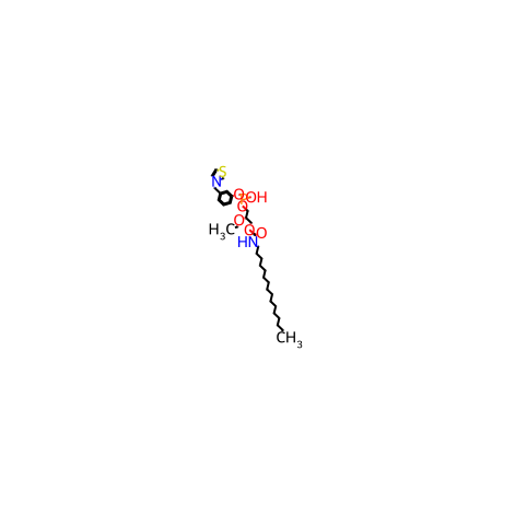 CCCCCCCCCCCCCCCCNC(=O)OCC(COP(O)Oc1cccc(CN2C=CSC2)c1)OCC